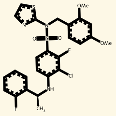 COc1ccc(CN(c2nccs2)S(=O)(=O)c2ccc(N[C@@H](C)c3ccccc3F)c(Cl)c2F)c(OC)c1